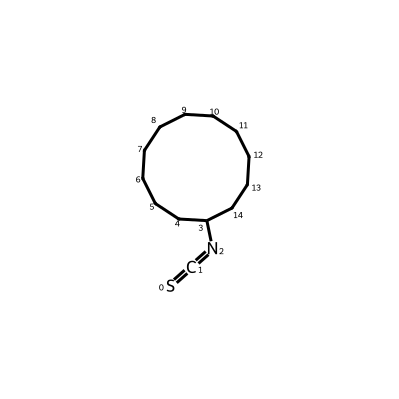 S=C=NC1CCCCCCCCCCC1